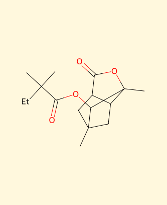 CCC(C)(C)C(=O)OC1C2(C)CC3C(=O)OC1(C)C3C2